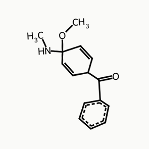 CNC1(OC)C=CC(C(=O)c2ccccc2)C=C1